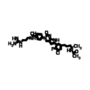 CC(=O)N[C@@H](C)CCCc1cc(Cl)c(F)c(-c2cc3cn(-c4ccc([C@H](C)NCCCNC(=N)N)cc4)c(=O)nc3[nH]2)c1